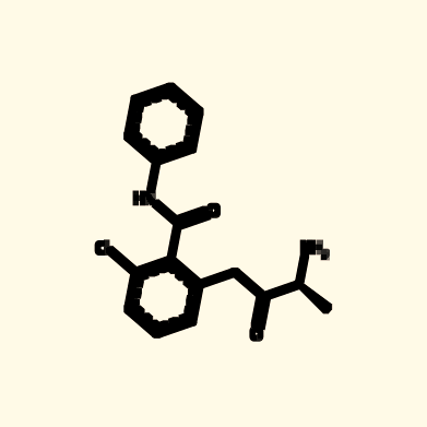 C[C@H](N)C(=O)Cc1cccc(Cl)c1C(=O)Nc1ccccc1